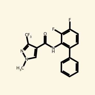 Cn1cc(C(=O)Nc2c(-c3ccccc3)ccc(F)c2F)c(C(F)(F)F)n1